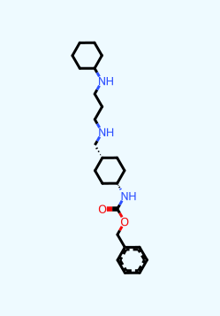 O=C(N[C@H]1CC[C@@H](CNCCCNC2CCCCC2)CC1)OCc1ccccc1